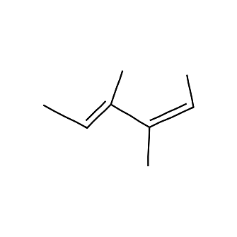 C/C=C(C)\C(C)=C\C